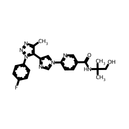 Cc1nnn(-c2ccc(F)cc2)c1-c1cn(-c2ccc(C(=O)NC(C)(C)CO)cn2)cn1